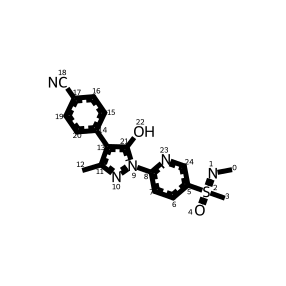 CN=S(C)(=O)c1ccc(-n2nc(C)c(-c3ccc(C#N)cc3)c2O)nc1